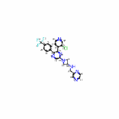 FC(F)(F)c1ccc(-c2ncc(N3CC(NCc4cnccn4)C3)nc2-c2ccncc2Cl)cc1